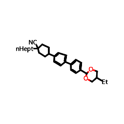 CCCCCCCC1(C#N)CCC(c2ccc(-c3ccc(C4OCC(CC)CO4)cc3)cc2)CC1